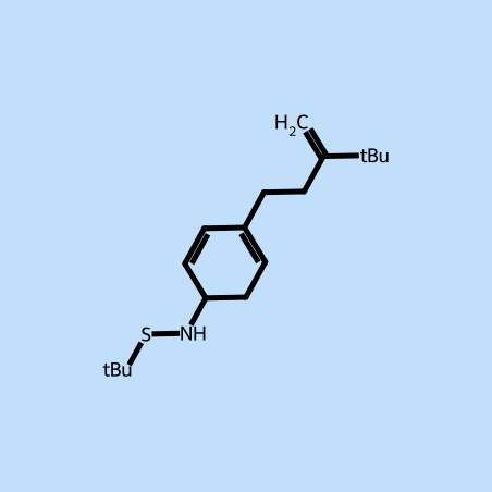 C=C(CCC1=CCC(NSC(C)(C)C)C=C1)C(C)(C)C